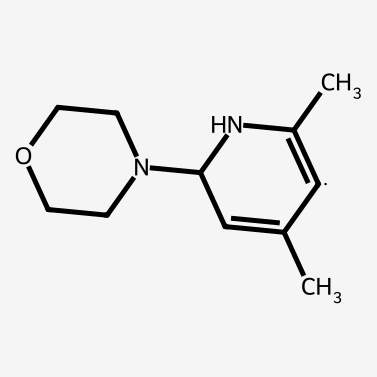 CC1=[C]C(C)=CC(N2CCOCC2)N1